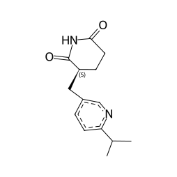 CC(C)c1ccc(C[C@@H]2CCC(=O)NC2=O)cn1